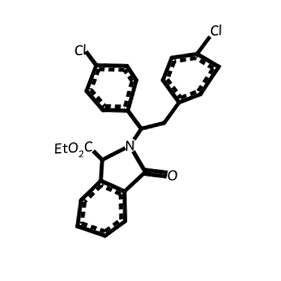 CCOC(=O)C1c2ccccc2C(=O)N1C(Cc1ccc(Cl)cc1)c1ccc(Cl)cc1